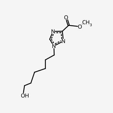 COC(=O)c1ncn(CCCCCCO)n1